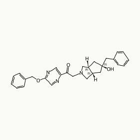 O=C(CN1C[C@@H]2C[C@](O)(Cc3ccccc3)C[C@@H]2C1)c1cnc(OCc2ccccc2)cn1